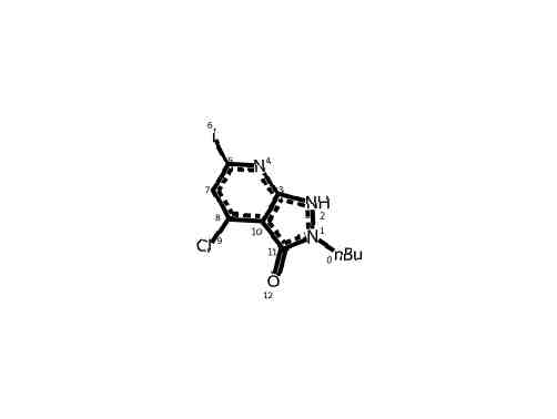 CCCCn1[nH]c2nc(I)cc(Cl)c2c1=O